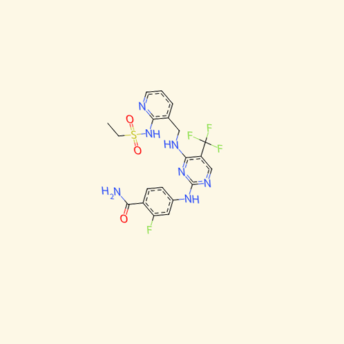 CCS(=O)(=O)Nc1ncccc1CNc1nc(Nc2ccc(C(N)=O)c(F)c2)ncc1C(F)(F)F